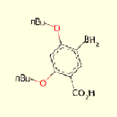 Bc1cc(C(=O)O)c(OCCCC)cc1OCCCC